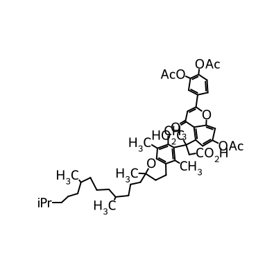 CC(=O)Oc1cc(C(CC(=O)O)(C(=O)O)c2c(C)c(C)c3c(c2C)CCC(C)(CCCC(C)CCCC(C)CCCC(C)C)O3)c2c(=O)cc(-c3ccc(OC(C)=O)c(OC(C)=O)c3)oc2c1